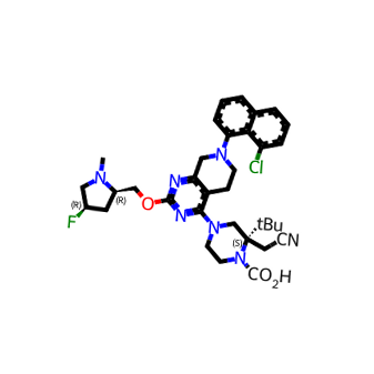 CN1C[C@H](F)C[C@@H]1COc1nc2c(c(N3CCN(C(=O)O)[C@@](CC#N)(C(C)(C)C)C3)n1)CCN(c1cccc3cccc(Cl)c13)C2